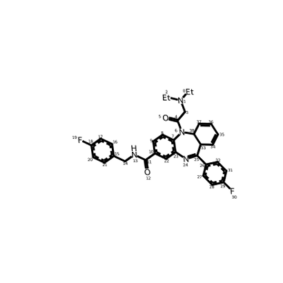 CCN(CC)CC(=O)N1c2ccc(C(=O)NCc3ccc(F)cc3)cc2N=C(c2ccc(F)cc2)C2C=CC=CC21